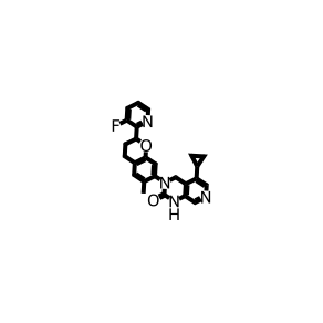 Cc1cc2c(cc1N1Cc3c(cncc3C3CC3)NC1=O)OC(c1ncccc1F)CC2